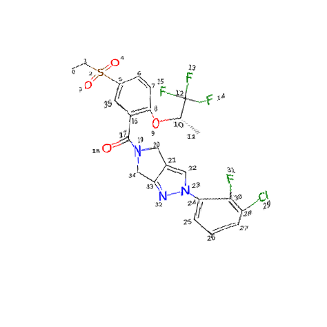 CCS(=O)(=O)c1ccc(O[C@@H](C)C(F)(F)F)c(C(=O)N2Cc3cn(-c4cccc(Cl)c4F)nc3C2)c1